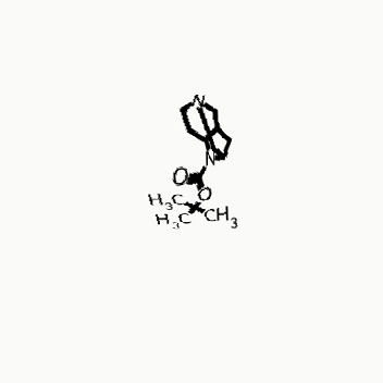 CC(C)(C)OC(=O)N1C2CC3CN(CCC31)C2